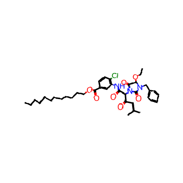 CCCCCCCCCCCCOC(=O)c1ccc(Cl)c(NC(=O)C(C(=O)CC(C)C)N2C(=O)C(OCC)N(Cc3ccccc3)C2=O)c1